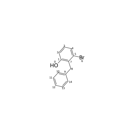 Oc1cccc(Br)c1Cc1ccccc1